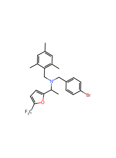 Cc1cc(C)c(CN(Cc2ccc(Br)cc2)C(C)c2ccc(C(F)(F)F)o2)c(C)c1